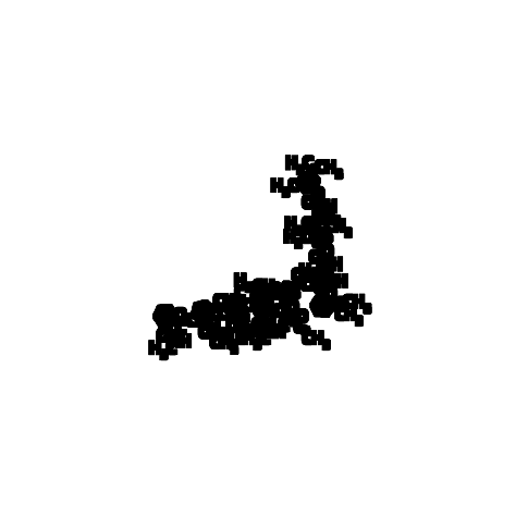 CCC(C)c1ccccc1OC(=O)NC.CCCC(=O)N(C)C(=O)Oc1cc(C)cc(C(C)C)c1.CNC(=O)Oc1cc(C)c(N(C)C)c(C)c1.CNC(=O)Oc1cc(C)c(SC)c(C)c1.CNC(=O)Oc1cc(C)cc(C(C)C)c1.CNC(=O)Oc1cccc(C)c1.CNC(=O)Oc1ccccc1C(C)C.CNC(=O)Oc1ccccc1OC(C)C